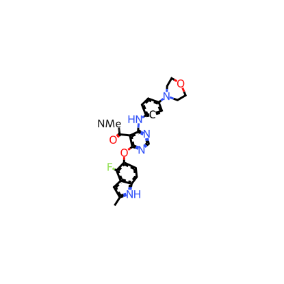 CNC(=O)c1c(Nc2ccc(N3CCOCC3)cc2)ncnc1Oc1ccc2[nH]c(C)cc2c1F